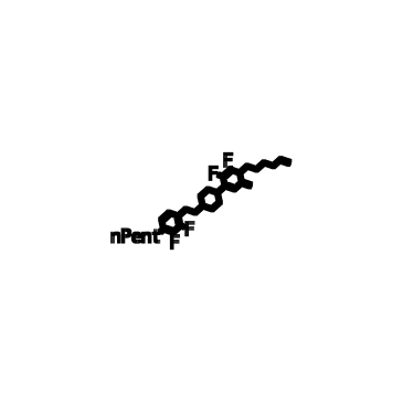 C=CCCCCC1C(=C)C=C(C2CCC(CCc3ccc(CCCCC)c(F)c3F)CC2)C(F)=C1F